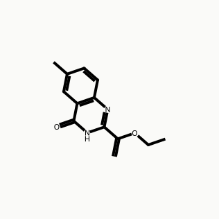 C=C(OCC)c1nc2ccc(C)cc2c(=O)[nH]1